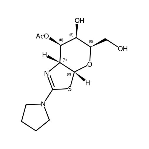 CC(=O)O[C@H]1[C@@H](O)[C@@H](CO)O[C@@H]2SC(N3CCCC3)=N[C@H]12